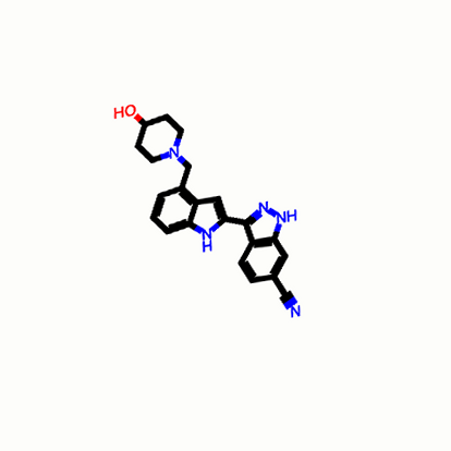 N#Cc1ccc2c(-c3cc4c(CN5CCC(O)CC5)cccc4[nH]3)n[nH]c2c1